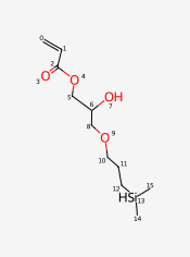 C=CC(=O)OCC(O)COCCC[SiH](C)C